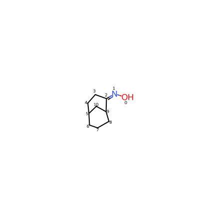 O/N=C1/CCC2CCCC1C2